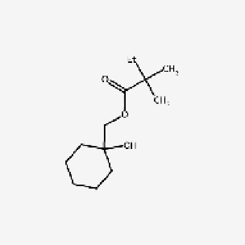 CCC(C)(C)C(=O)OCC1(O)CCCCC1